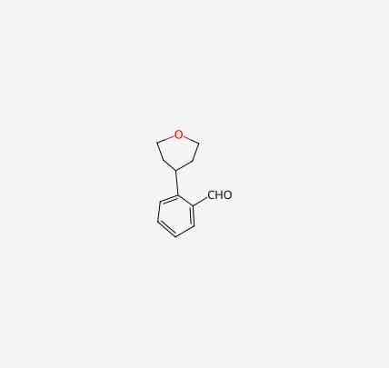 O=Cc1ccccc1C1CCOCC1